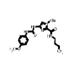 CCCCn1cc(NC(=O)Nc2ccc(OC(F)(F)F)cc2)nc1C(=O)NCCCC(F)(F)F